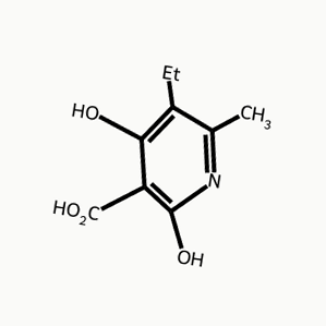 CCc1c(C)nc(O)c(C(=O)O)c1O